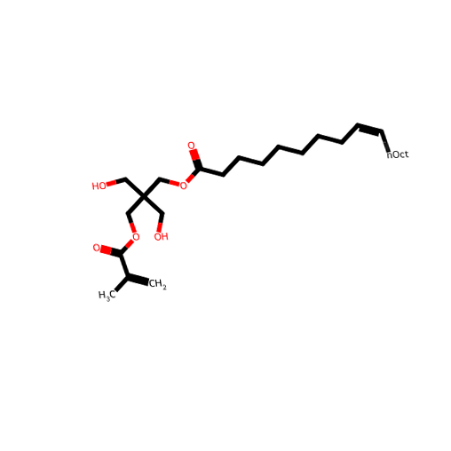 C=C(C)C(=O)OCC(CO)(CO)COC(=O)CCCCCCC/C=C\CCCCCCCC